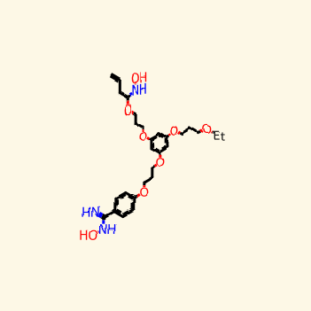 C=CCC(NO)OCCCOc1cc(OCCCOCC)cc(OCCCOc2ccc(C(=N)NO)cc2)c1